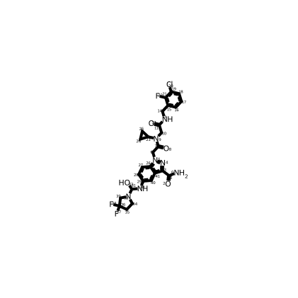 NC(=O)c1nn(CC(=O)N(CC(=O)NCc2cccc(Cl)c2F)C2CC2)c2ccc(NC(O)N3CCC(F)(F)C3)cc12